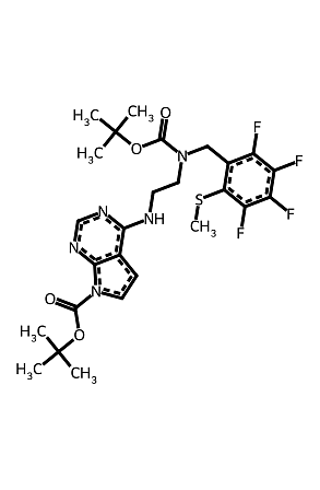 CSc1c(F)c(F)c(F)c(F)c1CN(CCNc1ncnc2c1ccn2C(=O)OC(C)(C)C)C(=O)OC(C)(C)C